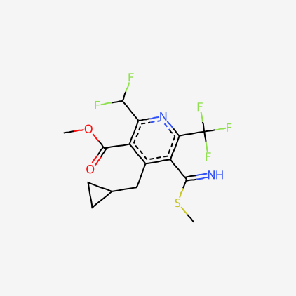 COC(=O)c1c(C(F)F)nc(C(F)(F)F)c(C(=N)SC)c1CC1CC1